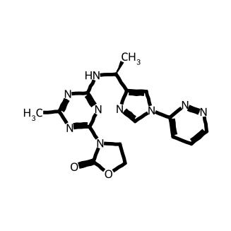 Cc1nc(N[C@@H](C)c2cn(-c3cccnn3)cn2)nc(N2CCOC2=O)n1